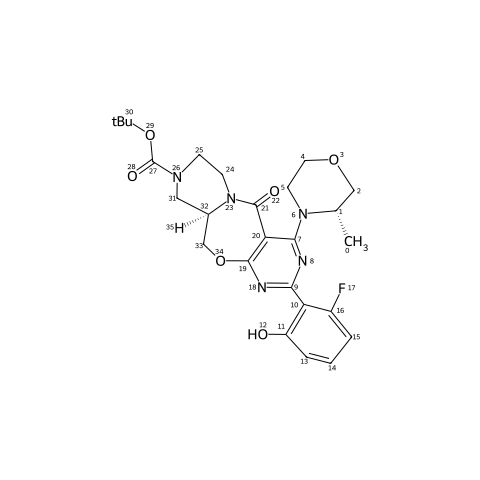 C[C@H]1COCCN1c1nc(-c2c(O)cccc2F)nc2c1C(=O)N1CCN(C(=O)OC(C)(C)C)C[C@@H]1CO2